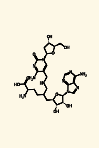 Nc1nc(=O)n([C@H]2C[C@H](O)[C@@H](CO)O2)cc1CNCC(CCC(N)C(=O)O)C[C@H]1O[C@@H](n2cnc3c(N)ncnc32)[C@H](O)[C@@H]1O